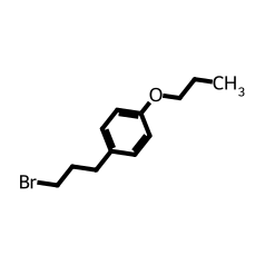 CCCOc1ccc(CCCBr)cc1